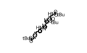 CC(C)(C)OC(=O)CN1CCN(Cc2cccc(Nc3nccc(-c4ccc(CN(CCNC(=O)OC(C)(C)C)C(=O)OC(C)(C)C)nc4)n3)c2)CC1